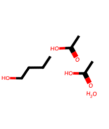 CC(=O)O.CC(=O)O.CCCCO.O